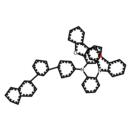 c1cc(-c2ccc(N(c3ccccc3-n3c4ccccc4c4ccccc43)c3cccc4c3oc3ccccc34)cc2)cc(-c2ccc3ccccc3c2)c1